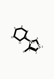 CC1=CSCN1C1CCCCC1